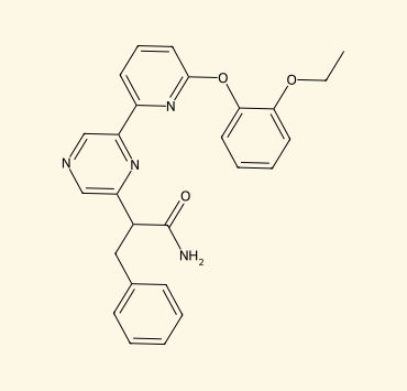 CCOc1ccccc1Oc1cccc(-c2cncc(C(Cc3ccccc3)C(N)=O)n2)n1